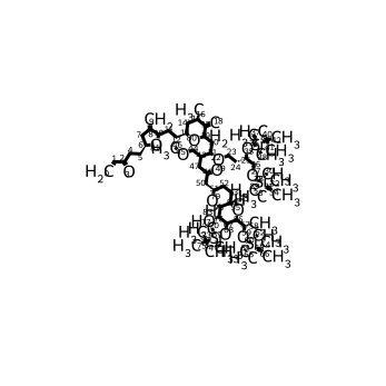 C=CC(=O)CC[C@H]1CC(=C)C(CC[C@H]2C[C@@H](C)C(=C)C(CC(OCC[C@@H](CO[Si](C)(C)C(C)(C)C)O[Si](C)(C)C(C)(C)C)C(COC)CC(=O)C[C@H]3CC[C@@H]4O[C@@H]([C@H](C)O[Si](C)(C)C(C)(C)C)C(O[Si](C)(C)C(C)(C)C)[C@@H](O)[C@H]4O3)O2)O1